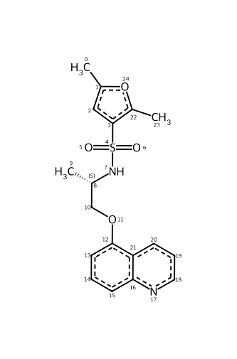 Cc1cc(S(=O)(=O)N[C@@H](C)COc2cccc3ncccc23)c(C)o1